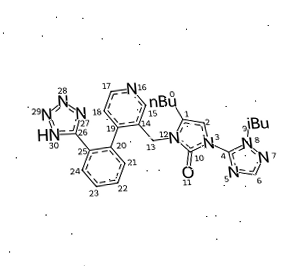 CCCCc1cn(-c2ncnn2C(C)CC)c(=O)n1Cc1cnccc1-c1ccccc1-c1nnn[nH]1